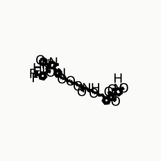 CC1=C(c2ccc(OCCOCCOCC(=O)NCCOCCCc3cccc4c3C(=O)N(C3CCC(=O)NC3=O)C4=O)nc2)CC(NC(=O)c2cccc(C(F)(F)F)c2)(N2CCOCC2)C=N1